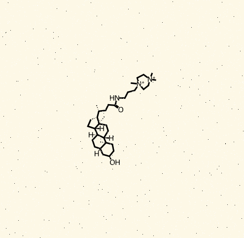 C[C@H](CCC(=O)NCCC[N+]1(C)CC[N+](C)(C)CC1)[C@H]1CC[C@H]2[C@@H]3CC[C@@H]4C[C@H](O)CC[C@]4(C)[C@H]3CC[C@]12C